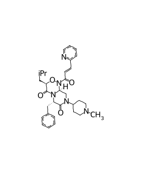 CC(C)C[C@H]1ON(C(=O)/C=C/c2ccccn2)[C@H]2CN(C3CCN(C)CC3)C(=O)[C@H](Cc3ccccc3)N2C1=O